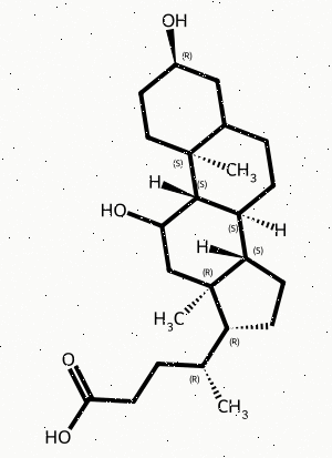 C[C@H](CCC(=O)O)[C@H]1CC[C@H]2[C@@H]3CCC4C[C@H](O)CC[C@]4(C)[C@H]3C(O)C[C@]12C